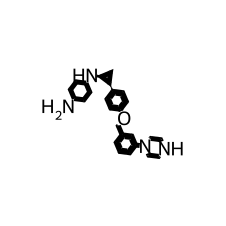 NC1CCC(N[C@H]2C[C@@H]2c2ccc(OCc3cccc(N4CCNCC4)c3)cc2)CC1